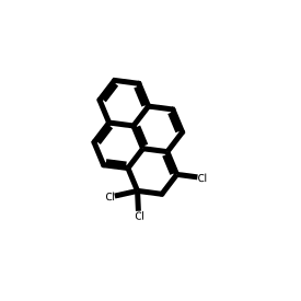 ClC1=c2ccc3cccc4ccc(c2c43)C(Cl)(Cl)C1